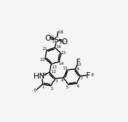 Cc1cc(-c2ccc(F)c(F)c2)c(-c2ccc(S(C)(=O)=O)cc2)[nH]1